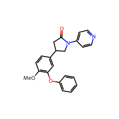 COc1ccc(C2CC(=O)N(c3ccncc3)C2)cc1Oc1ccccc1